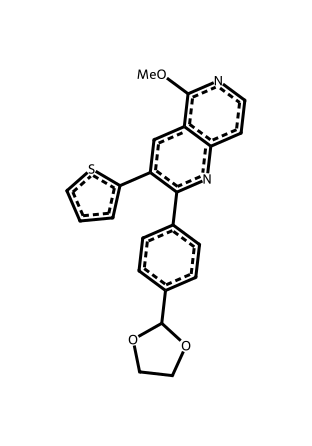 COc1nccc2nc(-c3ccc(C4OCCO4)cc3)c(-c3cccs3)cc12